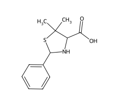 CC1(C)SC(c2ccccc2)NC1C(=O)O